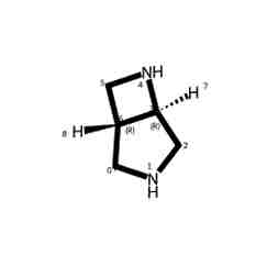 [CH]1NC[C@@H]2NC[C@@H]12